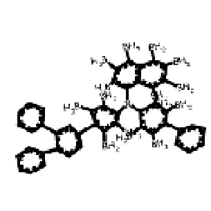 Bc1c(B)c(N(c2c(B)c(B)c(-c3ccc(-c4ccccc4)c(-c4ccccc4)c3)c(B)c2B)c2c(B)c(B)c(B)c3c(B)c(B)c(B)c(B)c23)c(B)c(B)c1-c1ccccc1